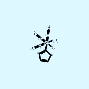 C[CH2][Mn]([CH3])(=[C]=O)(=[C]=O)(=[C]=O)[C]1=CC=CC1